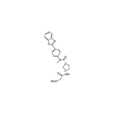 COCC(=O)N[C@H]1CC[C@@H](C(=O)N(C)c2ccc(-c3nc4ccccc4o3)cc2)C1